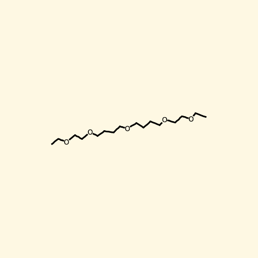 CCOCCOCCCCOCCCCOCCOCC